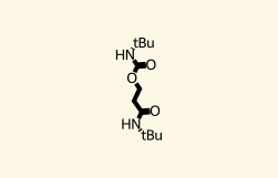 CC(C)(C)NC(=O)CCOC(=O)NC(C)(C)C